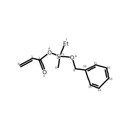 C=CC(=O)O[Si](C)(CC)OCc1ccccc1